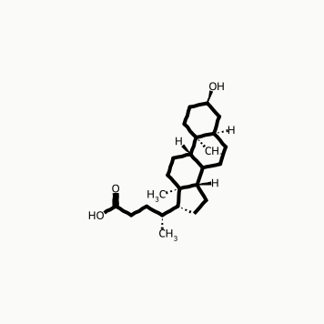 C[C@H](CCC(=O)O)[C@H]1CC[C@H]2C3CC[C@@H]4C[C@H](O)CC[C@]4(C)[C@H]3CC[C@]12C